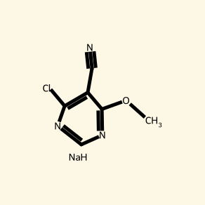 COc1ncnc(Cl)c1C#N.[NaH]